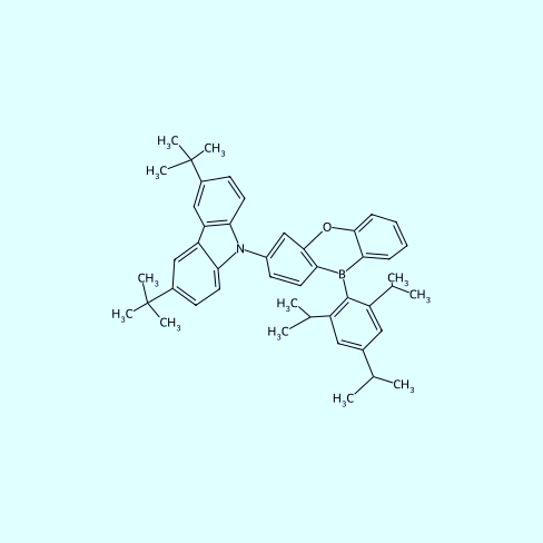 CC(C)c1cc(C(C)C)c(B2c3ccccc3Oc3cc(-n4c5ccc(C(C)(C)C)cc5c5cc(C(C)(C)C)ccc54)ccc32)c(C(C)C)c1